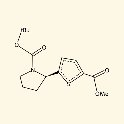 COC(=O)c1ccc([C@H]2CCCN2C(=O)OC(C)(C)C)s1